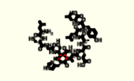 CC(C)C[C@H](NC(=O)[C@H](Cc1ccc(O)cc1)NC(=O)[C@H](CC(C)C)NC(=O)[C@H](C)NC(=O)[C@H](CCC(=O)O)NC(=O)[C@@H](NC(=O)[C@H](CC(C)C)NC(=O)[C@H](Cc1c[nH]cn1)NC(=O)[C@H](CO)NC(=O)CNC(=O)[C@H](CS)NC(=O)[C@@H](N)CC(C)C)C(C)C)C(=O)O